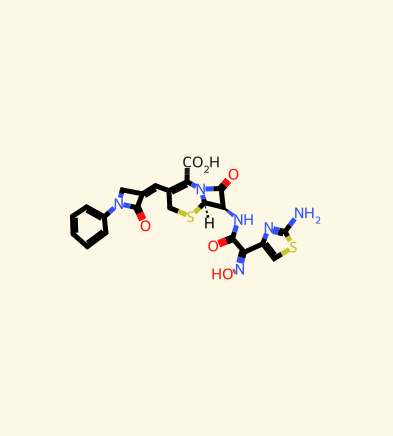 Nc1nc(/C(=N/O)C(=O)N[C@@H]2C(=O)N3C(C(=O)O)=C(/C=C4/CN(c5ccccc5)C4=O)CS[C@H]23)cs1